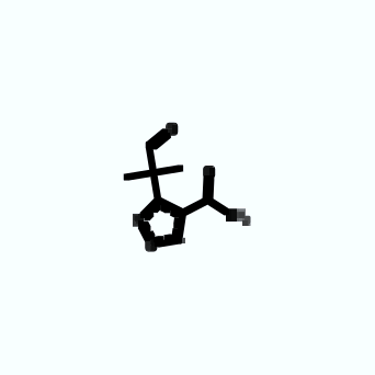 CC(C)(C=O)c1no[c]c1C(N)=O